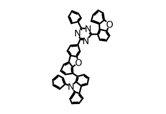 c1ccc(-c2nc(-c3ccc4c(c3)oc3c(-c5cccc6c7ccccc7n(-c7ccccc7)c56)cccc34)nc(-c3cccc4oc5ccccc5c34)n2)cc1